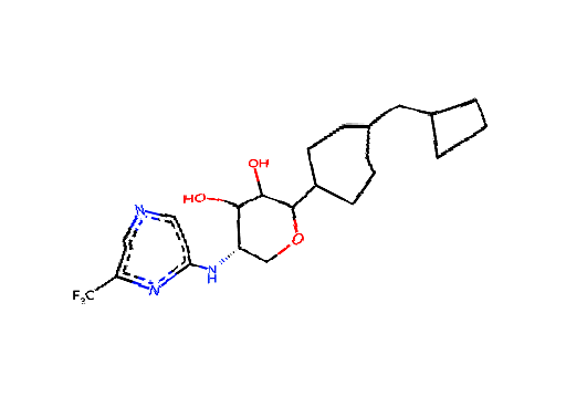 OC1C(C2CCC(CC3CCC3)CC2)OC[C@H](Nc2cncc(C(F)(F)F)n2)C1O